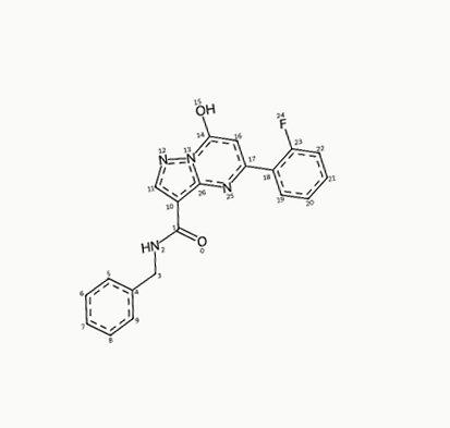 O=C(NCc1ccccc1)c1cnn2c(O)cc(-c3ccccc3F)nc12